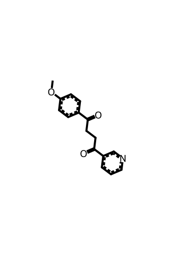 COc1ccc(C(=O)CCC(=O)c2cccnc2)cc1